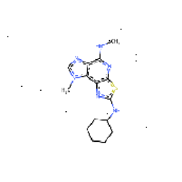 CNc1nc2sc(NC3CCCCC3)nc2c2c1ncn2C